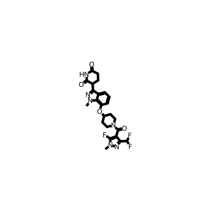 Cn1nc(C(F)F)c(C(=O)N2CCC(Oc3cccc4c(C5CCC(=O)NC5=O)nn(C)c34)CC2)c1F